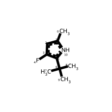 Cc1cc(F)c(C(C)(C)C)[nH]1